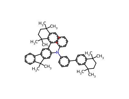 CC1(C)CCC(C)(C)c2cc(-c3cccc(N(c4ccccc4)c4cc5c(cc4-c4cccc6c4C(C)(C)CCC6(C)C)-c4ccccc4C5(C)C)c3)ccc21